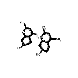 Nc1cc(C(F)(F)F)nc2cc(C(F)(F)F)ccc12.Nc1cc(C(F)(F)F)nc2cc(C(F)(F)F)ccc12